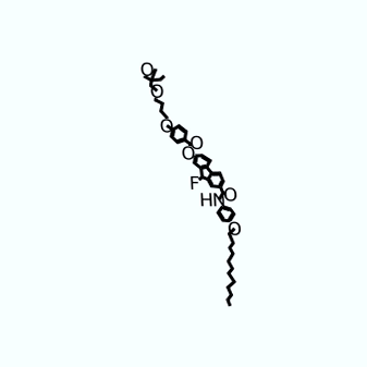 CCCCCCCCCCCCOc1ccc(NC(=O)c2ccc3c(c2)C(F)c2cc(OC(=O)c4ccc(OCCCCOCC5(CC)COC5)cc4)ccc2-3)cc1